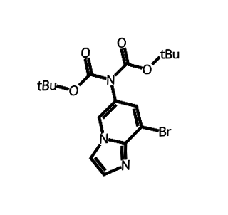 CC(C)(C)OC(=O)N(C(=O)OC(C)(C)C)c1cc(Br)c2nccn2c1